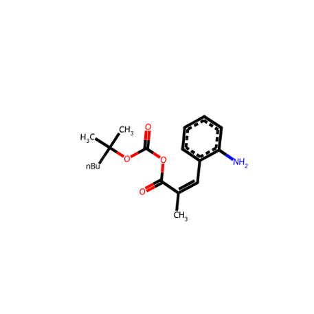 CCCCC(C)(C)OC(=O)OC(=O)C(C)=Cc1ccccc1N